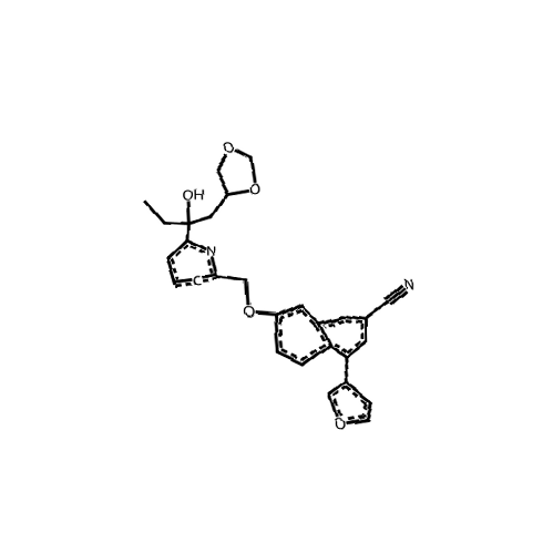 CCC(O)(CC1COCO1)c1cccc(COc2ccc3c(-c4ccoc4)cc(C#N)cc3c2)n1